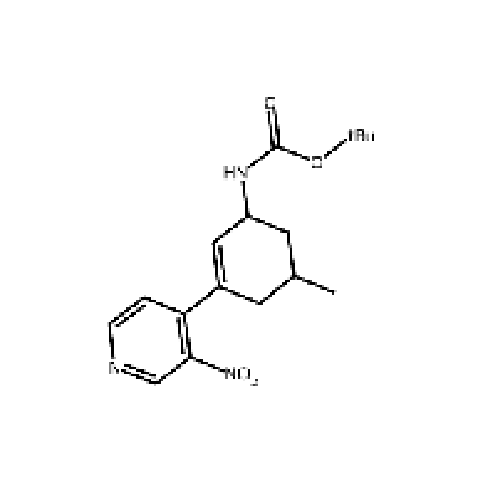 CC1CC(c2ccncc2[N+](=O)[O-])=CC(NC(=O)OC(C)(C)C)C1